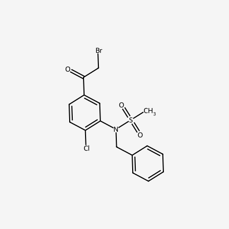 CS(=O)(=O)N(Cc1ccccc1)c1cc(C(=O)CBr)ccc1Cl